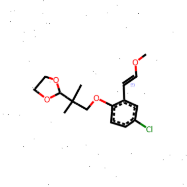 CO/C=C/c1cc(Cl)ccc1OCC(C)(C)C1OCCO1